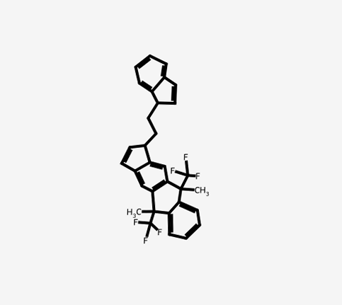 CC1(C(F)(F)F)c2ccccc2C(C)(C(F)(F)F)c2cc3c(cc21)C=CC3CCC1C=Cc2ccccc21